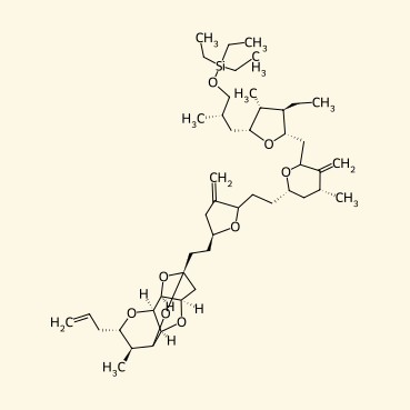 C=CC[C@@H]1O[C@H]2[C@H]3O[C@]4(CC[C@H]5CC(=C)C(CC[C@H]6C[C@@H](C)C(=C)C(C[C@@H]7O[C@H](C[C@H](C)CO[Si](CC)(CC)CC)[C@H](C)[C@H]7CC)O6)O5)C[C@H]3O[C@H]2C(O4)[C@H]1C